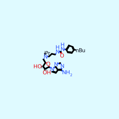 CCCCc1ccc(NC(=O)NCCCN(CC2OC(n3ccc4c(N)ncnc43)[C@H](O)[C@@H]2O)C(C)C)cc1